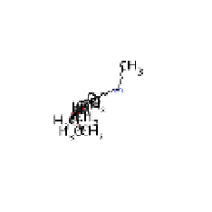 CCCCCCCC/C=C\CCCCCCCC(=O)O[C@H]1CC[C@@]2(C)C(CC[C@H]3[C@@H]4CC[C@H]([C@H](C)CCCC(C)C)[C@@]4(C)CC[C@@H]32)C1